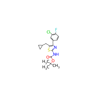 CC(C)(C)OC(=O)Nc1nc(-c2ccc(F)c(Cl)c2)c(CC2CC2)s1